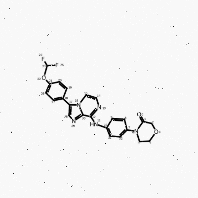 O=C1COCCN1c1ccc(Nc2nccn3c(-c4ccc(OC(F)F)cc4)cnc23)cc1